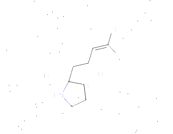 CC(C)=CCC[C@]1(C)NCC[C@H]1O